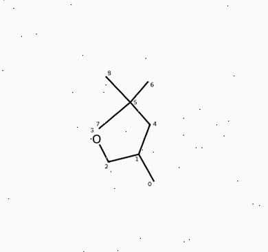 CC(C[O])CC(C)(C)C